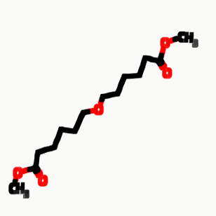 COC(=O)CCCCCOCCCCCC(=O)OC